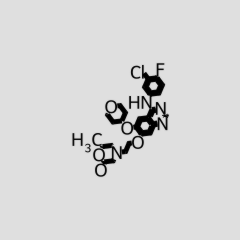 CC1CN(CCOc2cc3ncnc(Nc4ccc(F)c(Cl)c4)c3cc2OC2CCOCC2)CC(=O)O1